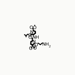 COC(=O)c1ccc(NC(=O)c2ccc([N+](=O)[O-])c(OCCCN)n2)c(OCC(C)C)n1